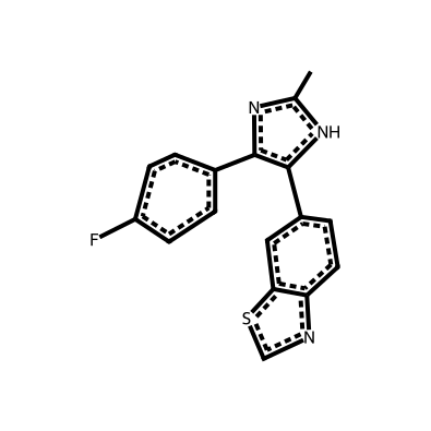 Cc1nc(-c2ccc(F)cc2)c(-c2ccc3ncsc3c2)[nH]1